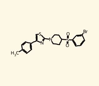 Cc1ccc(-c2csc(N3CCC(S(=O)(=O)c4cccc(Br)c4)CC3)n2)cc1